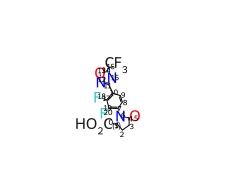 O=C(O)[C@@H]1CCC(=O)N1c1ccc(-c2noc(C(F)(F)F)n2)c(F)c1F